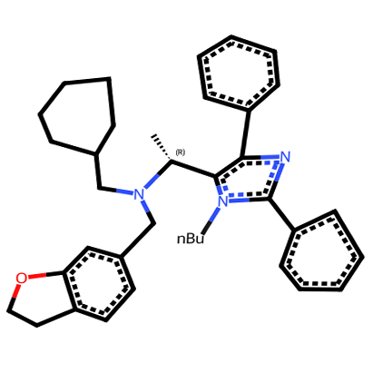 CCCCn1c(-c2ccccc2)nc(-c2ccccc2)c1[C@@H](C)N(Cc1ccc2c(c1)OCC2)CC1CCCCC1